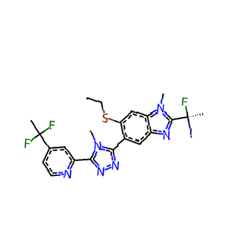 CCSc1cc2c(cc1-c1nnc(-c3cc(C(C)(F)F)ccn3)n1C)nc([C@@](C)(F)I)n2C